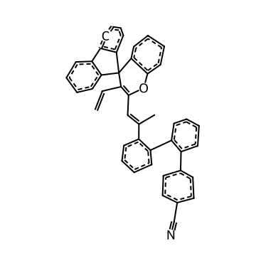 C=CC1=C(/C=C(\C)c2ccccc2-c2ccccc2-c2ccc(C#N)cc2)Oc2ccccc2C12c1ccccc1-c1ccccc12